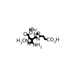 Cn1nc(N)c(-c2noc(CCC(=O)O)n2)c1C(=O)OC(C)(C)C